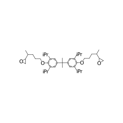 CC(C)c1cc(C(C)(C)c2cc(C(C)C)c(OCCCC(C)C3CO3)c(C(C)C)c2)cc(C(C)C)c1OCCCC(C)C1CO1